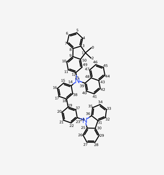 CC1(C)c2ccccc2-c2ccc(N(c3cccc(-c4cccc(-n5c6ccccc6c6ccccc65)c4)c3)c3cccc4ccccc34)cc21